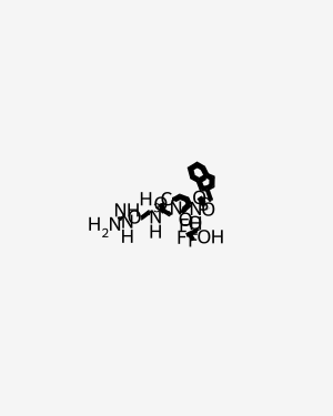 Cc1ccc(NS(=O)(=O)Cc2ccc3ccccc3c2)c(=O)n1CC(=O)NCCONC(=N)N.O=C(O)C(F)(F)F